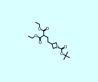 CCOC(=O)C(CCC1CN(C(=O)OC(C)(C)C)C1)C(=O)OCC